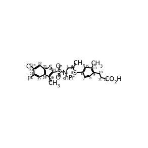 CCCN(C[C@@H](C)Sc1ccc(CCC(=O)O)c(C)c1)S(=O)(=O)c1sc2cc(Cl)c(F)cc2c1C